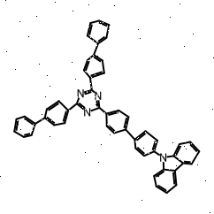 c1ccc(-c2ccc(-c3nc(-c4ccc(-c5ccccc5)cc4)nc(-c4ccc(-c5ccc(-n6c7ccccc7c7ccccc76)cc5)cc4)n3)cc2)cc1